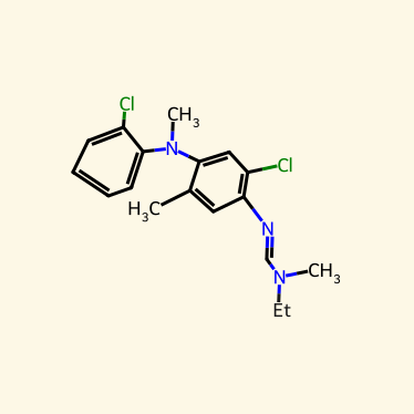 CCN(C)C=Nc1cc(C)c(N(C)c2ccccc2Cl)cc1Cl